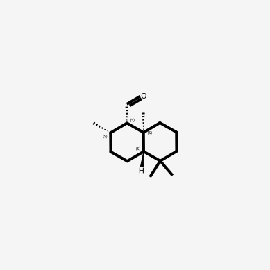 C[C@H]1CC[C@H]2C(C)(C)CCC[C@]2(C)[C@H]1C=O